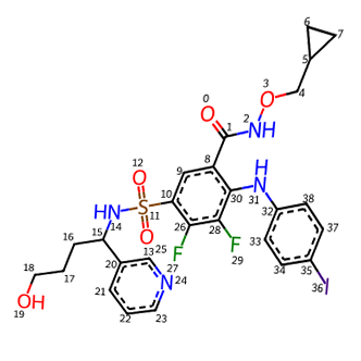 O=C(NOCC1CC1)c1cc(S(=O)(=O)NC(CCCO)c2cccnc2)c(F)c(F)c1Nc1ccc(I)cc1